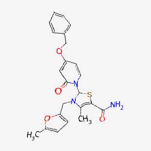 CC1=C(C(N)=O)SC(n2ccc(OCc3ccccc3)cc2=O)N1Cc1ccc(C)o1